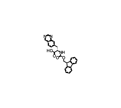 O=C(N[C@@H](Cc1ccc2cncnc2c1)C(=O)O)OCC1c2ccccc2-c2ccccc21